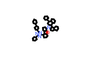 c1ccc(-c2ccc(-c3nc(-c4ccccc4)nc(-c4cccc5oc6c(-n7c8ccc9ccccc9c8c8c9ccccc9c(-c9ccccc9)cc87)cccc6c45)n3)cc2)cc1